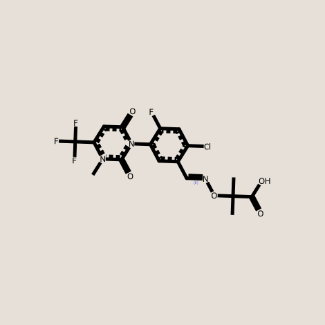 Cn1c(C(F)(F)F)cc(=O)n(-c2cc(/C=N/OC(C)(C)C(=O)O)c(Cl)cc2F)c1=O